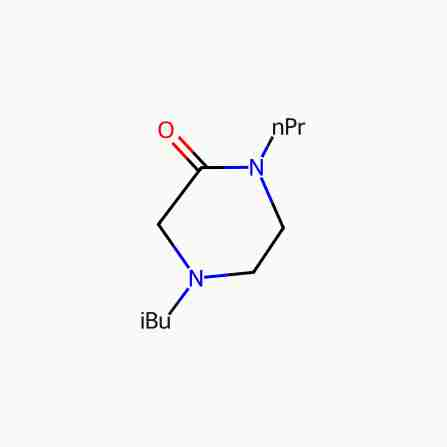 CCCN1CCN(C(C)CC)CC1=O